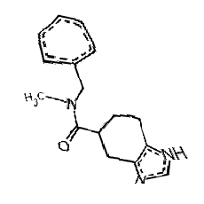 CN(Cc1ccccc1)C(=O)C1CCc2[nH]cnc2C1